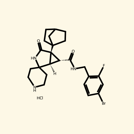 Cl.O=C(NCc1ccc(Br)cc1F)[C@@H]1[C@H]2C3(CCNCC3)NC(=O)[C@]12C12CCC(CC1)C2